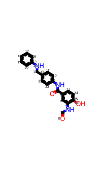 O=CNc1cc(C(=O)Nc2ccc(CNc3ccccc3)cc2)ccc1O